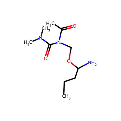 CCCC(N)OCN(C(C)=O)C(=O)N(C)C